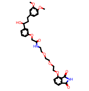 COc1ccc(CCC(O)c2cccc(OCC(=O)NCCOCCOCCOc3cccc4c3C(=O)NC4=O)c2)cc1OC